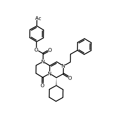 CC(=O)c1ccc(OC(=O)N2CCC(=O)N3C2=CN(CCc2ccccc2)C(=O)[C@@H]3C2CCCCC2)cc1